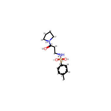 Cc1ccc(S(=O)(=O)NCCC(=O)N2CCCC2)cc1